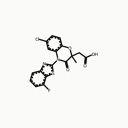 CC1(CC(=O)O)Oc2ccc(Cl)cc2N(c2nc3cccc(F)c3s2)C1=O